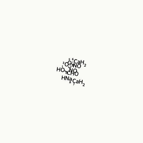 O=CO.O=[NH+][O-].O=[NH+][O-].[CaH2].[CaH2].[NaH]